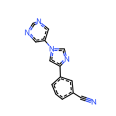 N#Cc1cccc(-c2cn(-c3cncnc3)cn2)c1